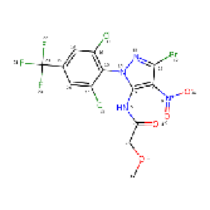 COCC(=O)Nc1c([N+](=O)[O-])c(Br)nn1-c1c(Cl)cc(C(F)(F)F)cc1Cl